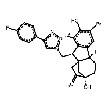 C=C1C[C@]23C[C@@]1(O)CC[C@H]2c1cc(Br)c(O)c(C)c1[C@@H]3Cn1cc(-c2ccc(F)cc2)nn1